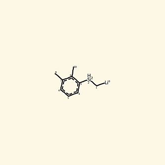 [Li][CH2][SiH2]c1cccc(C)c1C